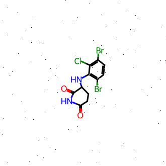 O=C1CCC(Nc2c(Br)ccc(Br)c2Cl)C(=O)N1